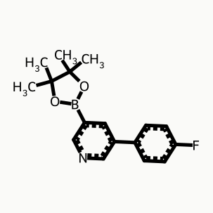 CC1(C)OB(c2cncc(-c3ccc(F)cc3)c2)OC1(C)C